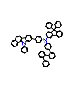 c1ccc(-c2ccccc2-c2ccccc2-c2ccc(N(c3ccc(-c4ccc5c6ccc7ccccc7c6n(-c6ccccc6)c5c4)cc3)c3ccc4c(c3)-c3ccccc3C4(c3ccccc3)c3ccccc3)cc2)cc1